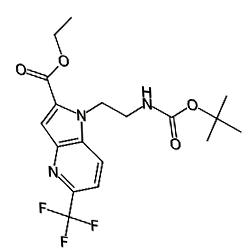 CCOC(=O)c1cc2nc(C(F)(F)F)ccc2n1CCNC(=O)OC(C)(C)C